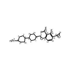 CCCC1CCC(C2CCC(COc3ccc(C4CO4)c(F)c3C(F)F)CC2)CC1